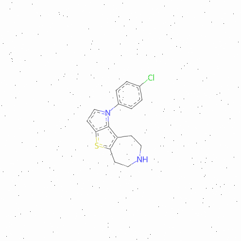 Clc1ccc(-n2ccc3sc4c(c32)CCNCC4)cc1